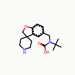 CC(C)(C)N(Cc1ccc2c(c1)C1(CCNCC1)CO2)C(=O)O